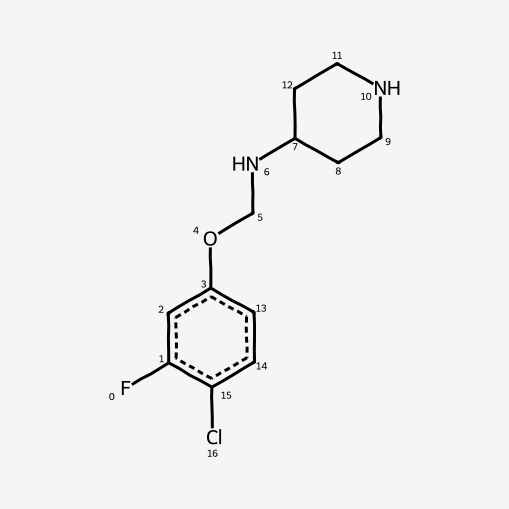 Fc1cc(OCNC2CCNCC2)ccc1Cl